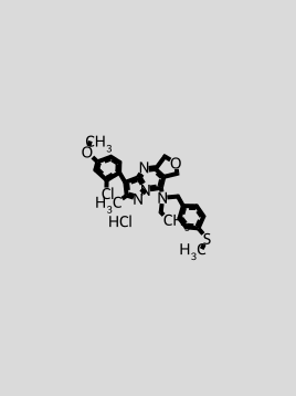 CCN(Cc1ccc(SC)cc1)c1c2c(nc3c(-c4ccc(OC)cc4Cl)c(C)nn13)COC2.Cl